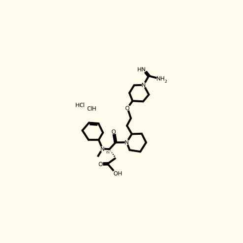 CN(C1CC=CCC1)[C@@H](CC(=O)O)C(=O)N1CCCCC1CCOC1CCN(C(=N)N)CC1.Cl.Cl